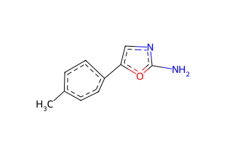 Cc1ccc(-c2cnc(N)o2)cc1